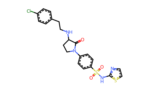 O=C1C(NCCc2ccc(Cl)cc2)CCN1c1ccc(S(=O)(=O)Nc2nccs2)cc1